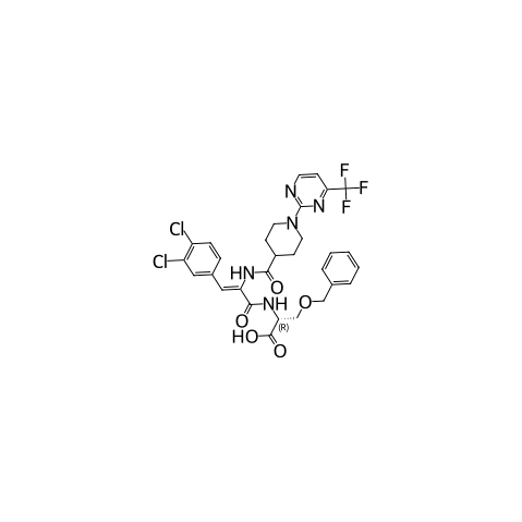 O=C(N[C@H](COCc1ccccc1)C(=O)O)C(=Cc1ccc(Cl)c(Cl)c1)NC(=O)C1CCN(c2nccc(C(F)(F)F)n2)CC1